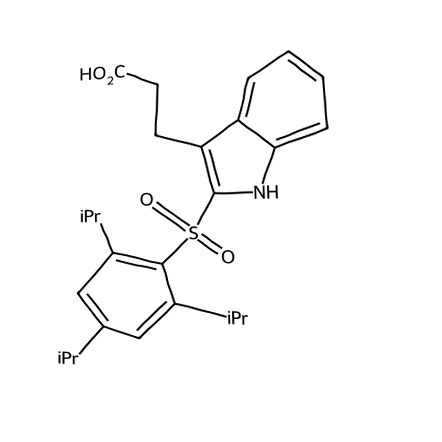 CC(C)c1cc(C(C)C)c(S(=O)(=O)c2[nH]c3ccccc3c2CCC(=O)O)c(C(C)C)c1